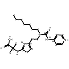 CCCCCCCN(CCc1csc(SC(C)(C)C(=O)O)n1)C(=O)Nc1ccncc1